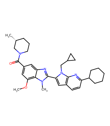 COc1cc(C(=O)N2CCC[C@@H](C)C2)cc2nc(-c3cc4ccc(C5CCCCC5)nc4n3CC3CC3)n(C)c12